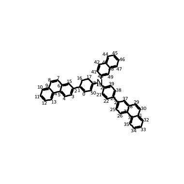 C1=C(c2ccc3c(ccc4ccccc43)c2)CCC(N(c2ccc(-c3ccc4c(ccc5ccccc54)c3)cc2)c2ccc3ccccc3c2)=C1